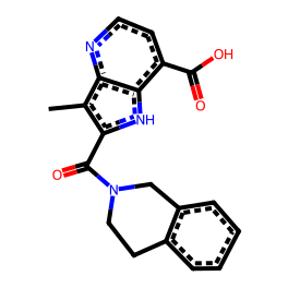 Cc1c(C(=O)N2CCc3ccccc3C2)[nH]c2c(C(=O)O)ccnc12